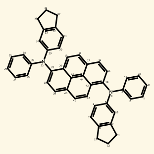 c1ccc(N(c2ccc3c(c2)CCC3)c2ccc3ccc4c(N(c5ccccc5)c5ccc6c(c5)CCC6)ccc5ccc2c3c54)cc1